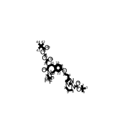 CC(C)(C)OC(=O)N1CCCn2cc(CCOc3ccc4c(c3)CN(CC(F)(F)F)C(=O)[C@H](CC(=O)OCOC(=O)C(C)(C)C)C4)nc21